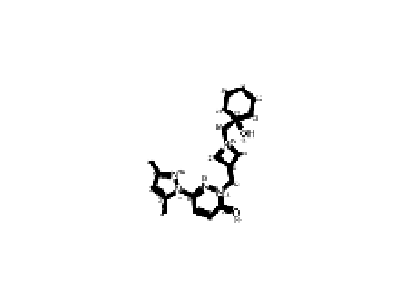 Cc1cc(C)n(-c2ccc(=O)n(CC3CN(CC4(O)CCCCC4)C3)n2)n1